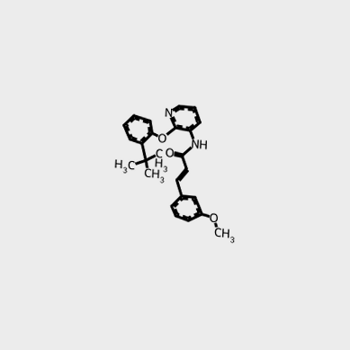 COc1cccc(C=CC(=O)Nc2cccnc2Oc2ccccc2C(C)(C)C)c1